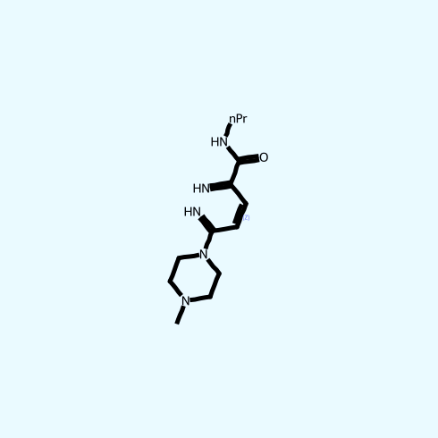 CCCNC(=O)C(=N)/C=C\C(=N)N1CCN(C)CC1